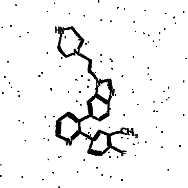 Cc1cc(-c2ncccc2-c2ccc3ncn(CCN4CCNCC4)c3c2)ccc1F